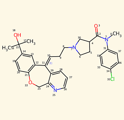 CN(C(=O)C1CCN(CC/C=C2/c3cc(C(C)(C)O)ccc3OCc3ncccc32)C1)c1ccc(Cl)cc1